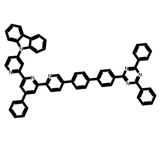 c1ccc(-c2cc(-c3ccc(-c4ccc(-c5ccc(-c6nc(-c7ccccc7)nc(-c7ccccc7)n6)cc5)cc4)cn3)nc(-c3cc(-n4c5ccccc5c5ccccc54)ccn3)c2)cc1